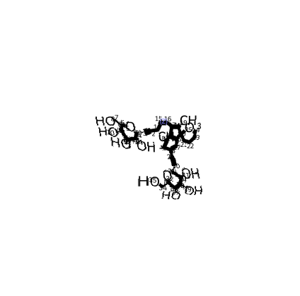 C=C(C#C[C@H]1O[C@H](CO)[C@@H](O)[C@H](O)[C@@H]1O)/C=C\C1=C(C)C2(CCCCO2)c2cc(C#C[C@H]3O[C@H](CO)[C@@H](O)[C@H](O)[C@@H]3O)ccc21